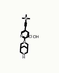 C[Si](C)(C)C#Cc1ccc(N2CC3CNCC(C3)C2)nc1.Cl.Cl